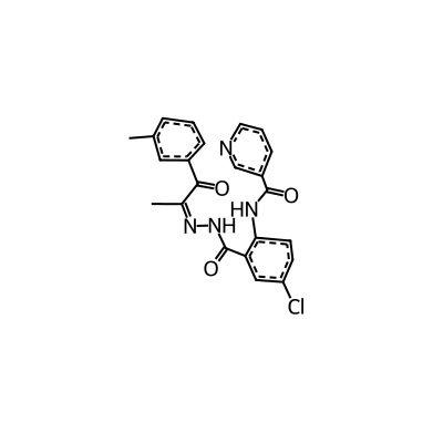 CC(=NNC(=O)c1cc(Cl)ccc1NC(=O)c1cccnc1)C(=O)c1cccc(C)c1